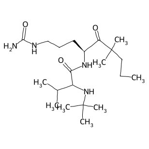 CCCC(C)(C)C(=O)[C@H](CCCNC(N)=O)NC(=O)C(NC(C)(C)C)C(C)C